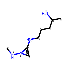 CNN1C=C1NCCCC(C)N